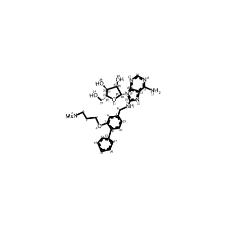 CNCCCOc1cc(CNc2nc3c(N)ncnc3n2[C@@H]2O[C@H](CO)[C@@H](O)[C@H]2O)ccc1-c1ccccc1